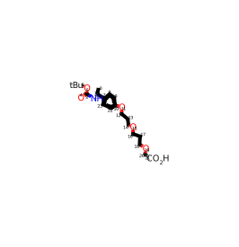 CC(NC(=O)OC(C)(C)C)c1ccc(OCCCOCCCOCC(=O)O)cc1